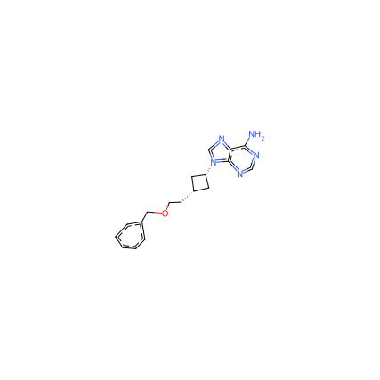 Nc1ncnc2c1ncn2[C@H]1C[C@@H](CCOCc2ccccc2)C1